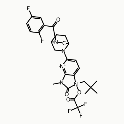 CN1C(=O)[N+](CC(C)(C)C)(OC(=O)C(F)(F)F)C2=CC=C(N3CC4CCC3CN4C(=O)c3cc(F)ccc3F)[N+]=C21